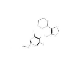 O=C(O)CCc1cc(F)c(OCC2=C(C3CCCCC3)CCC2)c(F)c1